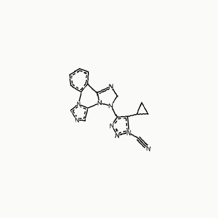 N#Cn1nnc(N2CN=C3c4ccccc4-n4cncc4N32)c1C1CC1